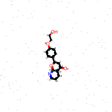 O=c1cc(-c2ccc(OCCO)cc2)oc2ncccc12